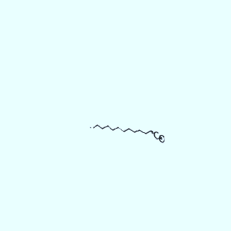 [CH2]CCCCCCCCCCC=C=O